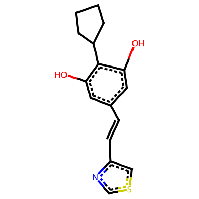 Oc1cc(C=Cc2cscn2)cc(O)c1C1CCCC1